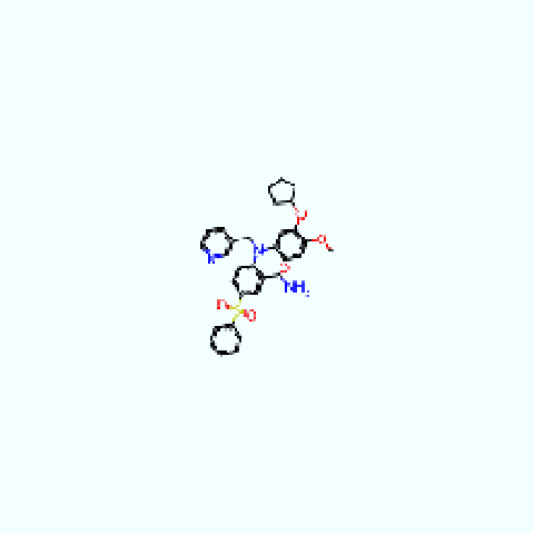 COc1ccc(N(Cc2cccnc2)c2ccc(S(=O)(=O)c3ccccc3)cc2C(N)=O)cc1OC1CCCC1